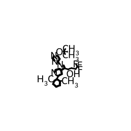 Cc1cccc(C)c1-c1cc2c(C(O)CCC(F)(F)F)cn(-c3cc(OC(C)C)ncn3)c2cn1